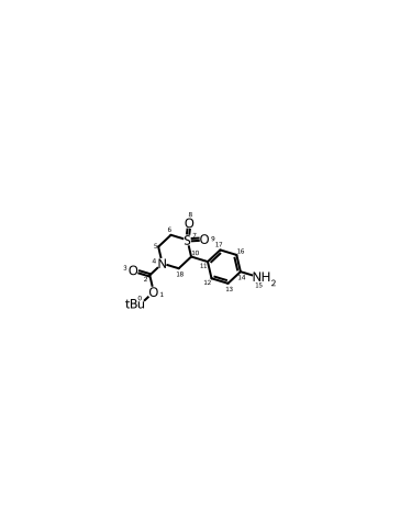 CC(C)(C)OC(=O)N1CCS(=O)(=O)C(c2ccc(N)cc2)C1